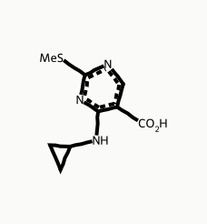 CSc1ncc(C(=O)O)c(NC2CC2)n1